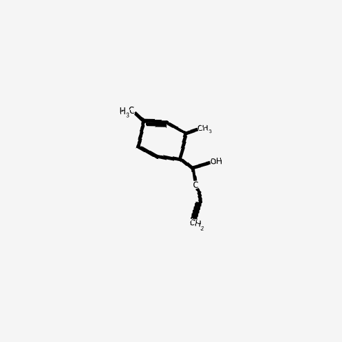 C=CCC(O)C1CCC(C)=CC1C